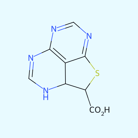 O=C(O)C1Sc2ncnc3c2C1NC=N3